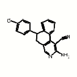 N#Cc1c(N)ncc2c1-c1ccccc1C(c1ccc(Cl)cc1)C2